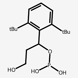 CC(C)(C)c1cccc(C(C)(C)C)c1C(CCO)OP(O)O